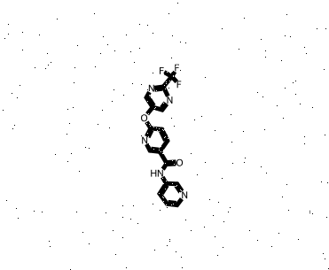 O=C(Nc1cccnc1)c1ccc(Oc2cnc(C(F)(F)F)nc2)nc1